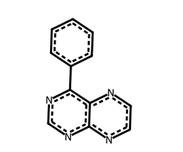 c1ccc(-c2ncnc3nccnc23)cc1